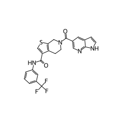 O=C(Nc1cccc(C(F)(F)F)c1)c1csc2c1CCN(C(=O)c1cnc3[nH]ccc3c1)C2